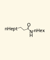 [CH2]CCCCCCCCC(=O)NCCCCC[CH2]